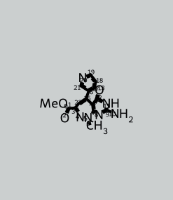 COC(=O)C1=NN(C)c2nc(N)[nH]c(=O)c2C(c2cccnc2)=C1